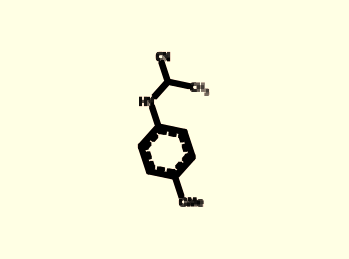 COc1ccc(NC(C)C#N)cc1